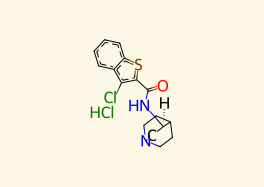 Cl.O=C(N[C@@H]1CN2CCC1CC2)c1sc2ccccc2c1Cl